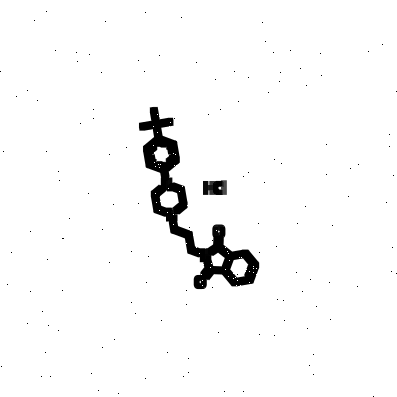 CC(C)(C)c1ccc(N2CCN(CCCN3C(=O)C4CC=CCC4C3=O)CC2)cc1.Cl